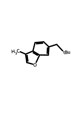 Cc1coc2cc(CC(C)(C)C)ccc12